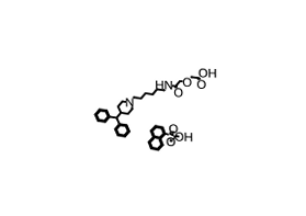 O=C(O)COCC(=O)NCCCCCCN1CCC(C(c2ccccc2)c2ccccc2)CC1.O=S(=O)(O)c1cccc2ccccc12